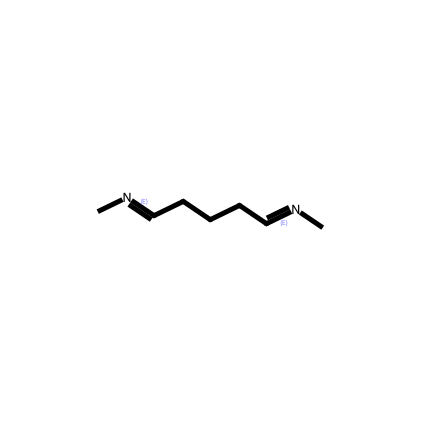 C/N=C/CCC/C=N/C